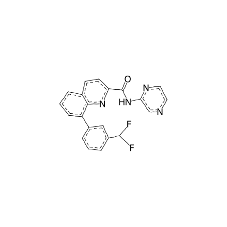 O=C(Nc1cnccn1)c1ccc2cccc(-c3cccc(C(F)F)c3)c2n1